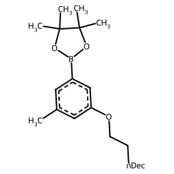 CCCCCCCCCCCCOc1cc(C)cc(B2OC(C)(C)C(C)(C)O2)c1